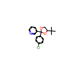 CC(C)(C)C1COC(c2ccc(Cl)cc2)(c2cccnc2)O1